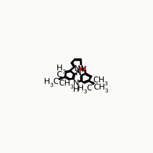 CC(C)(C)c1cc2c3c(c1)-c1cccc[n+]1[N+]31c3c(cc(C(C)(C)C)cc3-c3cccc[n+]31)N2